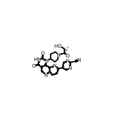 C[C@@H](O)C(=O)N1CCC(n2c(=O)[nH]c(=O)c3cnc4ccc(-c5cnc(C#N)nc5)nc4c32)CC1